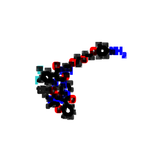 CC(C(=O)NC(C(=O)N1CCN(C(=O)c2c(C(=O)NCCOCCOCCOc3ccc(N)cc3)c3cc(F)c(F)cc3n2C)CC1)C1CCCCC1)N(C)C(=O)OC(C)(C)C